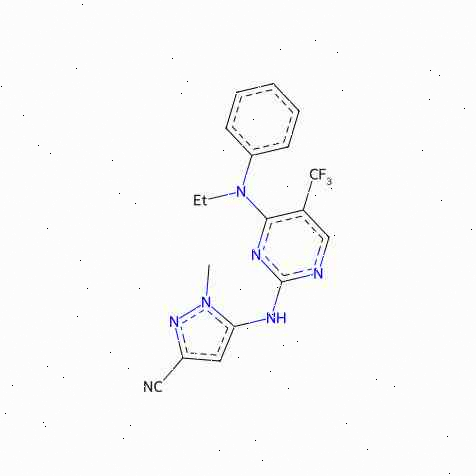 CCN(c1ccccc1)c1nc(Nc2cc(C#N)nn2C)ncc1C(F)(F)F